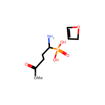 C1=COC1.COC(=O)CCC(N)P(=O)(O)O